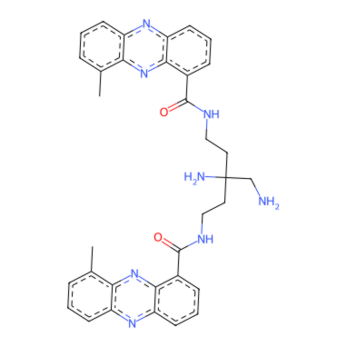 Cc1cccc2nc3cccc(C(=O)NCCC(N)(CN)CCNC(=O)c4cccc5nc6cccc(C)c6nc45)c3nc12